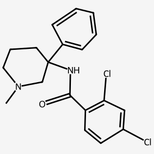 CN1CCCC(NC(=O)c2ccc(Cl)cc2Cl)(c2ccccc2)C1